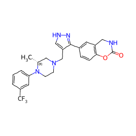 C[C@@H]1CN(Cc2c[nH]nc2-c2ccc3c(c2)CNC(=O)O3)CCN1c1cccc(C(F)(F)F)c1